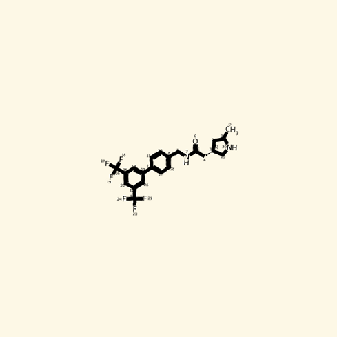 CC1C[C@@H](CC(=O)NCc2ccc(-c3cc(C(F)(F)F)cc(C(F)(F)F)c3)cc2)CN1